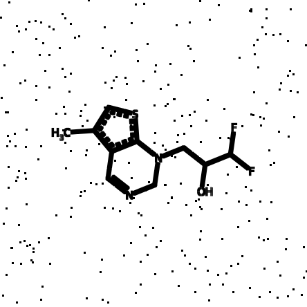 Cc1csc2c1C=NCN2CC(O)C(F)F